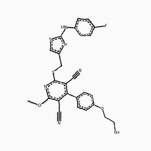 COc1nc(SCc2csc(Nc3ccc(F)cc3)n2)c(C#N)c(-c2ccc(OCCO)cc2)c1C#N